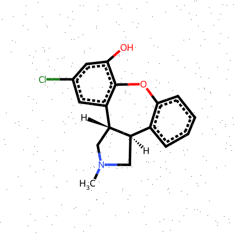 CN1C[C@@H]2c3ccccc3Oc3c(O)cc(Cl)cc3[C@H]2C1